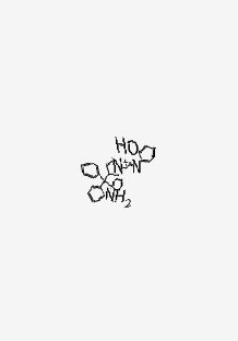 C[N+]1(CC=Nc2ccccc2O)CCC(C(C(N)=O)(c2ccccc2)c2ccccc2)C1